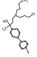 CCCCN(CCCC)CCC(C)(O)c1ccc(-c2ccc(F)cc2)cc1